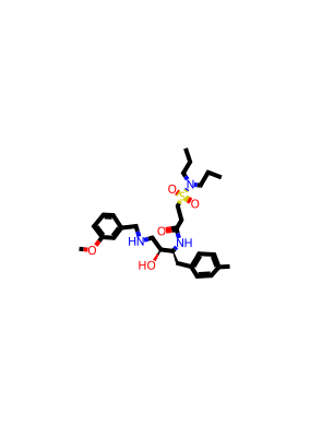 CCCN(CCC)S(=O)(=O)CCC(=O)N[C@@H](Cc1ccc(C)cc1)[C@@H](O)CNCc1cccc(OC)c1